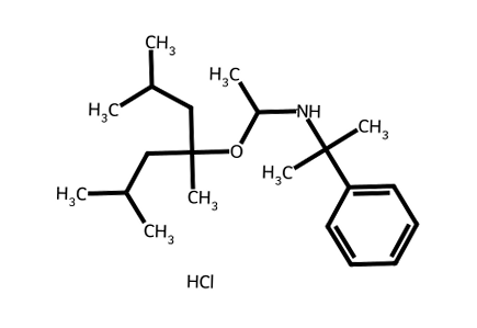 CC(C)CC(C)(CC(C)C)OC(C)NC(C)(C)c1ccccc1.Cl